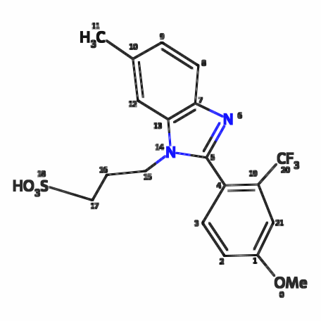 COc1ccc(-c2nc3ccc(C)cc3n2CCCS(=O)(=O)O)c(C(F)(F)F)c1